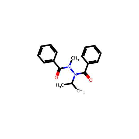 CC(C)N(C(=O)c1ccccc1)N(C)C(=O)c1ccccc1